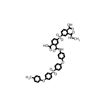 CNC(=O)c1cc(S(=O)(=O)c2ccc(C(=O)O)c(C(=O)Nc3ccc(Oc4ccc(S(=O)(=O)c5ccc(Oc6ccc(C)cc6)cc5)cc4)cc3)c2)ccc1C(=O)O